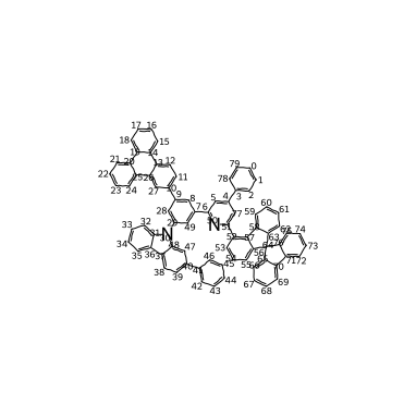 c1ccc(-c2cc(-c3cc(-c4ccc5c6ccccc6c6ccccc6c5c4)cc(-n4c5ccccc5c5ccc(-c6ccccc6)cc54)c3)nc(-c3cccc4c3-c3ccccc3C43c4ccccc4-c4ccccc43)c2)cc1